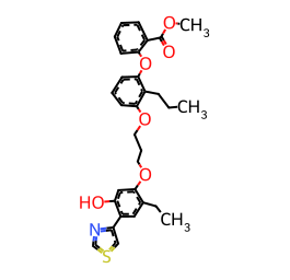 CCCc1c(OCCCOc2cc(O)c(-c3cscn3)cc2CC)cccc1Oc1ccccc1C(=O)OC